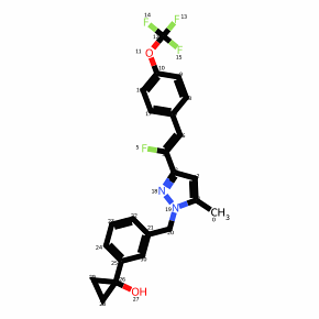 Cc1cc(C(F)=Cc2ccc(OC(F)(F)F)cc2)nn1Cc1cccc(C2(O)CC2)c1